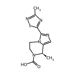 Cc1nsc(-c2ncc3n2CCN(C(=O)O)[C@@H]3C)n1